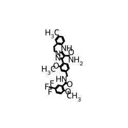 COc1ccc(C(F)(F)F)cc1C(=O)NCc1ccc(-c2nn3c(c2C(N)=O)Nc2ccc(C)cc2CC3)c(OC)c1